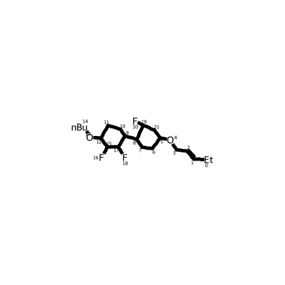 CCC=CCOC1CCC(C2CCC(OCCCC)C(F)C2F)C(F)C1